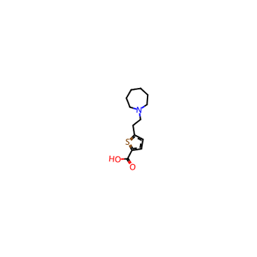 O=C(O)c1ccc(CCN2CCCCCC2)s1